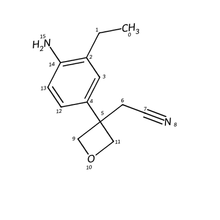 CCc1cc(C2(CC#N)COC2)ccc1N